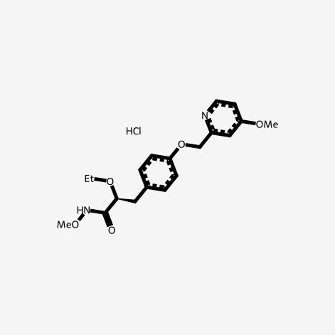 CCO[C@@H](Cc1ccc(OCc2cc(OC)ccn2)cc1)C(=O)NOC.Cl